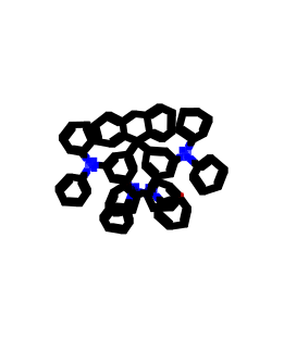 c1ccc(N(c2ccccc2)c2cc(N(c3ccccc3)c3ccccc3)cc(C3(c4cc(N(c5ccccc5)c5ccccc5)cc(N(c5ccccc5)c5ccccc5)c4)c4ccccc4Cc4ccccc43)c2)cc1